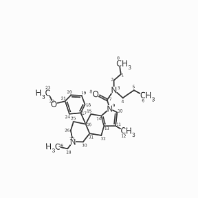 CCCN(CCC)C(=O)n1cc(C)c2c1CC1(c3cccc(OC)c3)CCN(CC)CC1C2